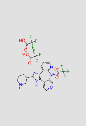 CN1CCCC(c2nc3c([nH]2)-c2ccncc2Nc2ncccc2-3)C1.O=C(O)C(F)(F)F.O=C(O)C(F)(F)F.O=C(O)C(F)(F)F